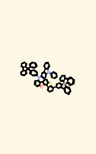 c1ccc(-n2c3ccccc3c3cc(N(c4ccc(C5(c6ccccc6)c6ccccc6-c6ccccc65)cc4)c4cccc5oc6c(ccc7sc8c(-c9ccc%10c(c9)-c9ccccc9[Si]%109c%10ccccc%10-c%10ccccc%109)cccc8c76)c45)ccc32)cc1